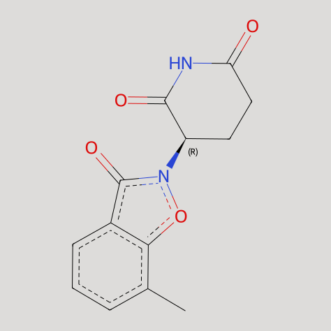 Cc1cccc2c(=O)n([C@@H]3CCC(=O)NC3=O)oc12